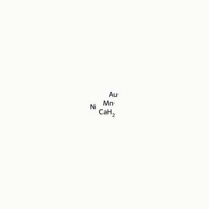 [Au].[CaH2].[Mn].[Ni]